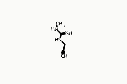 C#CCNC(=N)NC